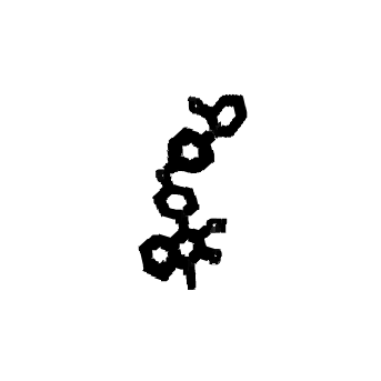 Cn1c(=O)c(C#N)c(N2CCC(Oc3ccc(N4CCCCC4=O)cc3)CC2)c2ccccc21